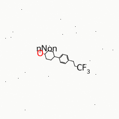 CCCCCCCCCOC1CCC(c2ccc(CCC(F)(F)F)cc2)CC1